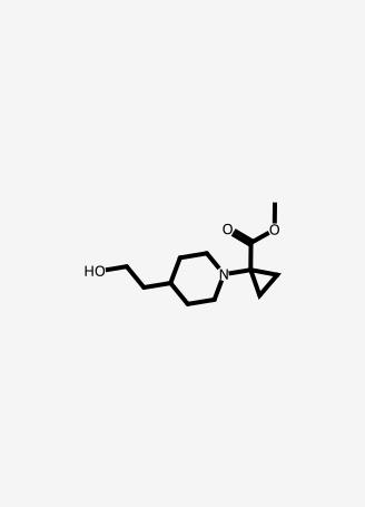 COC(=O)C1(N2CCC(CCO)CC2)CC1